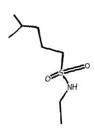 CCNS(=O)(=O)CCCC(C)C